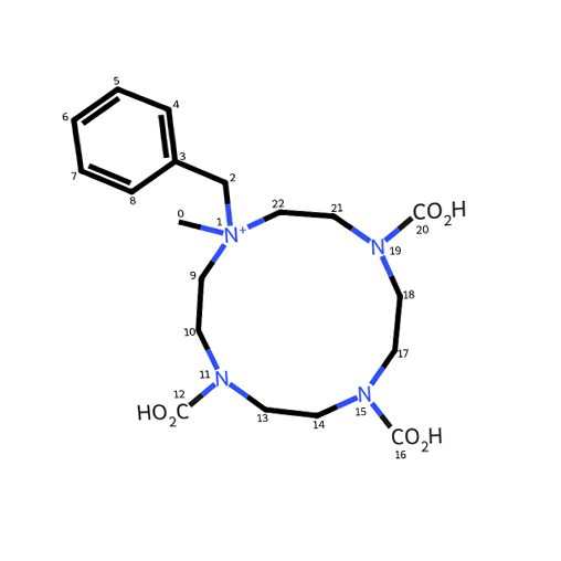 C[N+]1(Cc2ccccc2)CCN(C(=O)O)CCN(C(=O)O)CCN(C(=O)O)CC1